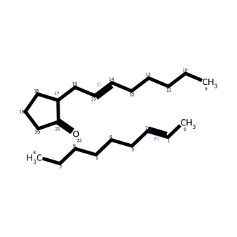 C/C=C/CCCCCC.CCCCC/C=C/CC1CCCC1=O